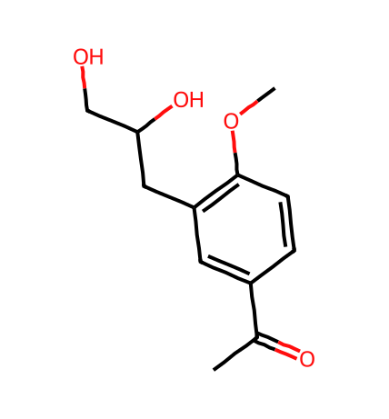 COc1ccc(C(C)=O)cc1CC(O)CO